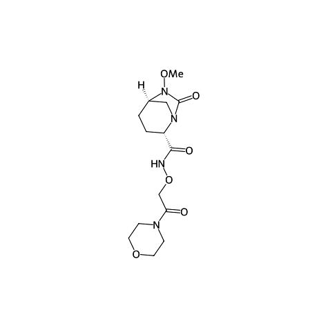 CON1C(=O)N2C[C@H]1CC[C@H]2C(=O)NOCC(=O)N1CCOCC1